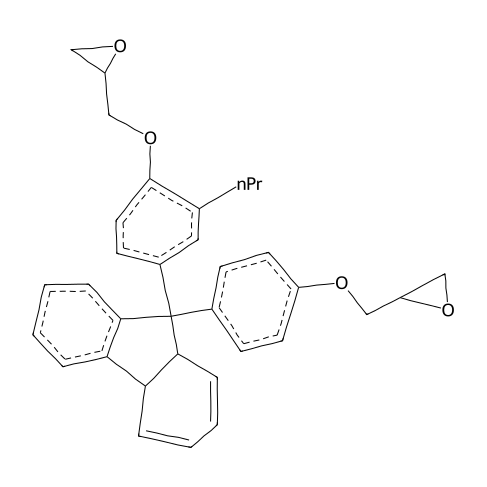 CCCc1cc(C2(c3ccc(OCC4CO4)cc3)c3ccccc3C3C=CC=CC32)ccc1OCC1CO1